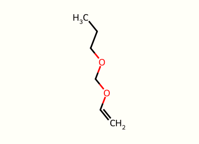 C=COCOCCC